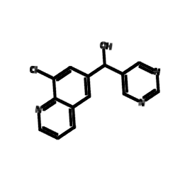 OC(c1cncnc1)c1cc(Cl)c2ncccc2c1